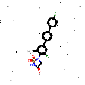 Cc1cc(-c2ccc(-c3ccc(F)cc3)cc2)cc(F)c1N1CC(=O)NS1(=O)=O